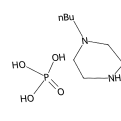 CCCCN1CCNCC1.O=P(O)(O)O